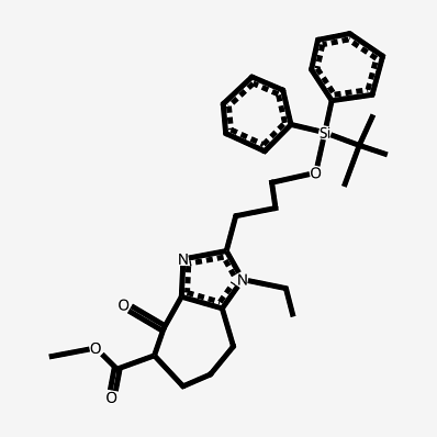 CCn1c(CCCO[Si](c2ccccc2)(c2ccccc2)C(C)(C)C)nc2c1CCCC(C(=O)OC)C2=O